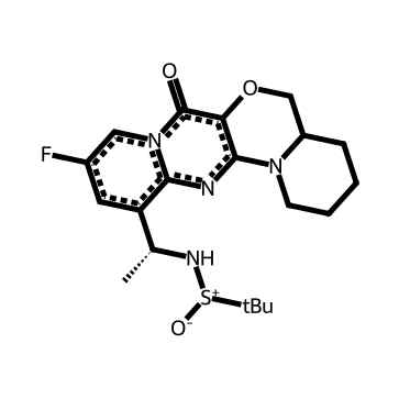 C[C@@H](N[S+]([O-])C(C)(C)C)c1cc(F)cn2c(=O)c3c(nc12)N1CCCCC1CO3